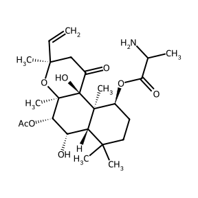 C=C[C@@]1(C)CC(=O)[C@]2(O)[C@@]3(C)[C@@H](OC(=O)C(C)N)CCC(C)(C)[C@@H]3[C@H](O)[C@H](OC(C)=O)[C@@]2(C)O1